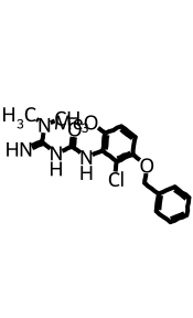 COc1ccc(OCc2ccccc2)c(Cl)c1NC(=O)NC(=N)N(C)C